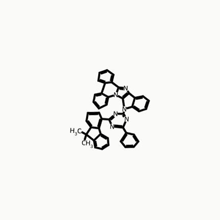 CC1(C)c2ccccc2-c2c(-c3nc(-c4ccccc4)nc(-n4c5ccccc5c5nc6c7ccccc7c7ccccc7n6c54)n3)cccc21